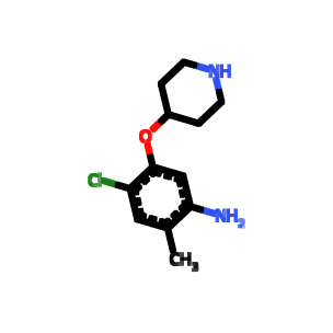 Cc1cc(Cl)c(OC2CCNCC2)cc1N